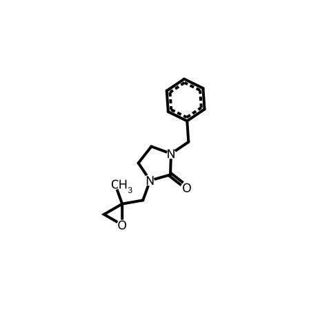 CC1(CN2CCN(Cc3ccccc3)C2=O)CO1